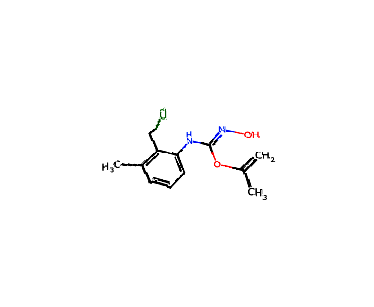 C=C(C)OC(=NO)Nc1cccc(C)c1CCl